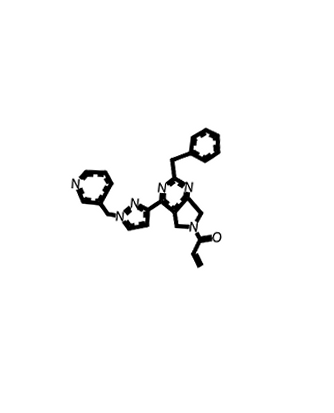 C=CC(=O)N1Cc2nc(Cc3ccccc3)nc(-c3ccn(Cc4cccnc4)n3)c2C1